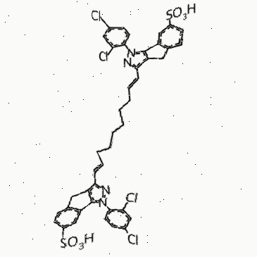 O=S(=O)(O)c1ccc2c(c1)-c1c(c(/C=C/CCCCCC/C=C/c3nn(-c4ccc(Cl)cc4Cl)c4c3Cc3ccc(S(=O)(=O)O)cc3-4)nn1-c1ccc(Cl)cc1Cl)C2